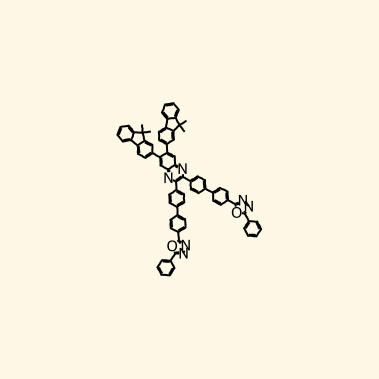 CC1(C)c2ccccc2-c2ccc(-c3cc4nc(-c5ccc(-c6ccc(-c7nnc(-c8ccccc8)o7)cc6)cc5)c(-c5ccc(-c6ccc(-c7nnc(-c8ccccc8)o7)cc6)cc5)nc4cc3-c3ccc4c(c3)C(C)(C)c3ccccc3-4)cc21